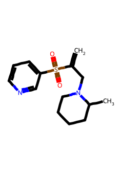 C=C(CN1CCCCC1C)S(=O)(=O)c1cccnc1